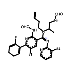 C=CCCN(/C(=N/c1ncccc1CC)c1cc(Cl)c(C2=CCCC=C2F)nc1NC=O)C(C)CNC=O